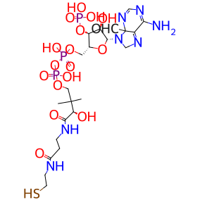 CC(C)(COP(=O)(O)OP(=O)(O)OC[C@H]1O[C@@H](N2CN=C3C(N)=NC=NC32C=O)[C@H](O)[C@@H]1OP(=O)(O)O)[C@@H](O)C(=O)NCCC(=O)NCCS